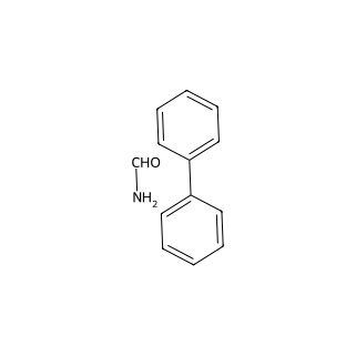 NC=O.c1ccc(-c2ccccc2)cc1